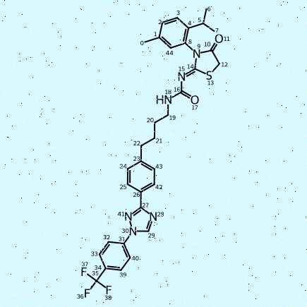 Cc1ccc(C(C)C)c(N2C(=O)CSC2=NC(=O)NCCCCc2ccc(-c3ncn(-c4ccc(C(F)(F)F)cc4)n3)cc2)c1